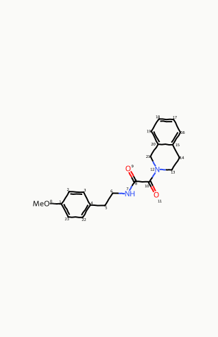 COc1ccc(CCNC(=O)C(=O)N2CCc3ccccc3C2)cc1